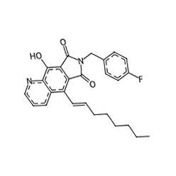 CCCCCC/C=C/c1c2c(c(O)c3ncccc13)C(=O)N(Cc1ccc(F)cc1)C2=O